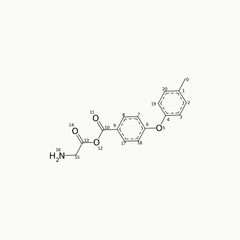 Cc1ccc(Oc2ccc(C(=O)OC(=O)CN)cc2)cc1